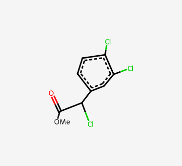 COC(=O)C(Cl)c1ccc(Cl)c(Cl)c1